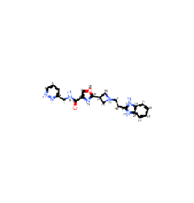 O=C(NCc1cccnn1)c1coc(C2CN(CCc3nc4ccccc4[nH]3)C2)n1